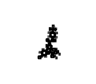 CN(C)C(=O)C1(C)CN(C(=O)Nc2ccc(C(F)(F)F)cc2)N=C1c1ccc(Cl)cc1